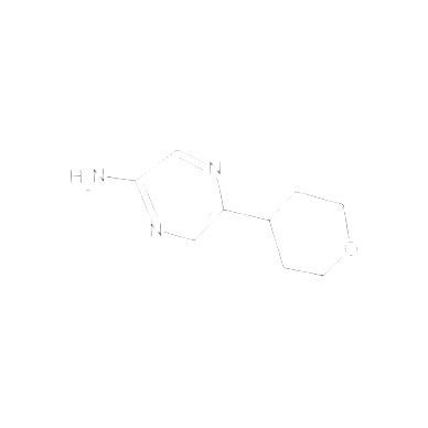 Nc1cnc(C2CCOCC2)cn1